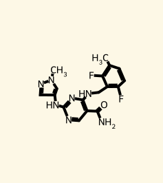 Cc1ccc(F)c(CNc2nc(Nc3cnn(C)c3)ncc2C(N)=O)c1F